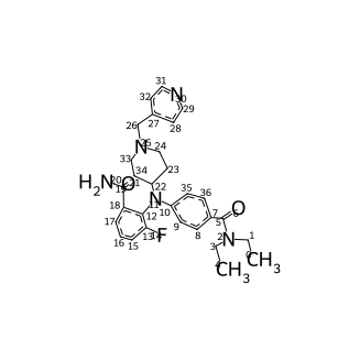 CCN(CC)C(=O)c1ccc(N(c2c(F)cccc2C(N)=O)C2CCN(Cc3ccncc3)CC2)cc1